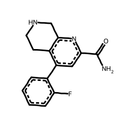 NC(=O)c1cc(-c2ccccc2F)c2c(n1)CNCC2